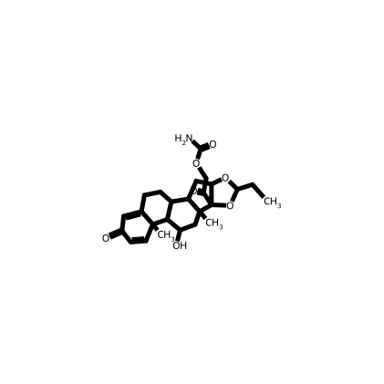 CCC1OC2CC3C4CCC5=CC(=O)C=CC5(C)C4C(O)CC3(C)C2(C(=O)COC(N)=O)O1